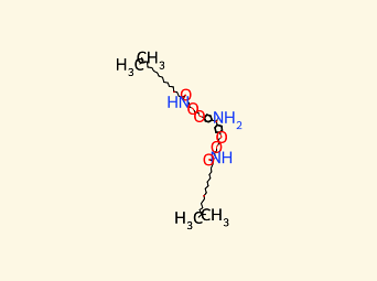 CC(C)CCCCCCCCCCCCCCC(=O)NCCOCCOc1ccc(C(N)c2ccc(OCCOCCNC(=O)CCCCCCCCCCCCCCC(C)C)cc2)cc1